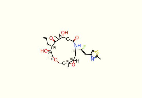 C=CC[C@H]1C(=O)C(C)(C)[C@@H](O)CC(=O)N[C@H](C(F)=Cc2csc(C)n2)C[C@@H]2O[C@]2(C)CCO[C@H](C)[C@H]1O